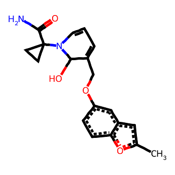 Cc1cc2cc(OCC3=CC=CN(C4(C(N)=O)CC4)C3O)ccc2o1